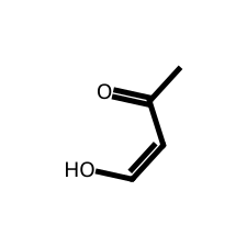 CC(=O)/C=C\O